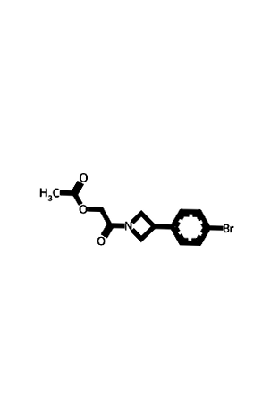 CC(=O)OCC(=O)N1CC(c2ccc(Br)cc2)C1